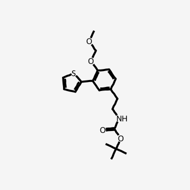 COCOc1ccc(CCNC(=O)OC(C)(C)C)cc1-c1cccs1